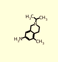 Cc1cc(N)cc2c1CCN(C(C)C)C2